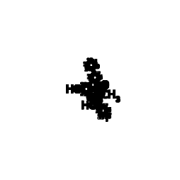 CN1C(=O)N(c2ccc(-c3ccccc3)cc2)[C@H](c2ccc(O)cc2O)[C@H]1CC[C@H](O)c1ccc(F)cc1